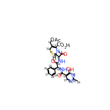 CC(=O)OCC1=C(C(=O)O)N2C(=O)[C@@H](NC(=O)C(NC(=O)c3cnc(C)nc3O)c3ccccc3)[C@H]2SC1